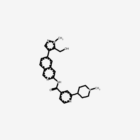 CN1CCC(c2cc(C(=O)Nc3cc4cc(-c5cnn(C)c5CO)ccc4cn3)ccn2)CC1